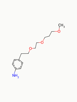 COCCCOCCOCCc1ccc(N)cc1